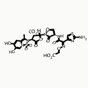 CC1=C2C=C(O)C(O)=CN2S(=O)(=O)N1C1CC(C(=O)O)(N2OC[C@H](NC(=O)/C(=N\OCC(=O)O)c3csc(N)n3)C2=O)OC1=O